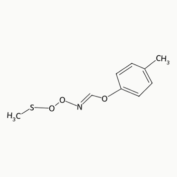 CSOO/N=C/Oc1ccc(C)cc1